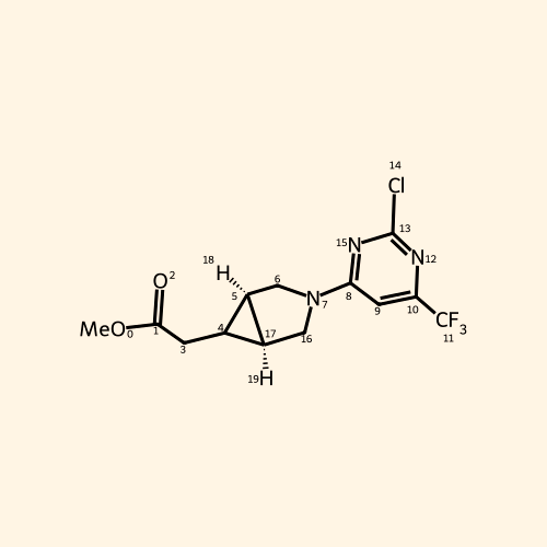 COC(=O)CC1[C@H]2CN(c3cc(C(F)(F)F)nc(Cl)n3)C[C@@H]12